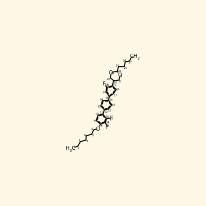 CCCCCCCOc1ccc(-c2ccc(-c3ccc(C4COC(CCCCC)OC4)c(F)c3)cc2)c(F)c1F